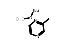 CC(C)(C)OC=O.Cc1cnccn1